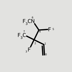 C=CC(F)(C(F)NC(F)(F)F)C(F)(F)F